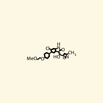 COCCOc1ccc(-c2cc3c(cc2Cl)NC(=O)/C3=C(/O)c2cc(C)no2)cc1